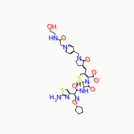 Nc1nc(C(=NOC2CCCC2)C(=O)N[C@@H]2C(=O)N3C(C(=O)[O-])=C(C=C4CCN(Cc5cc[n+](CC(=O)NCCO)cc5)C4=O)CS[C@H]23)cs1